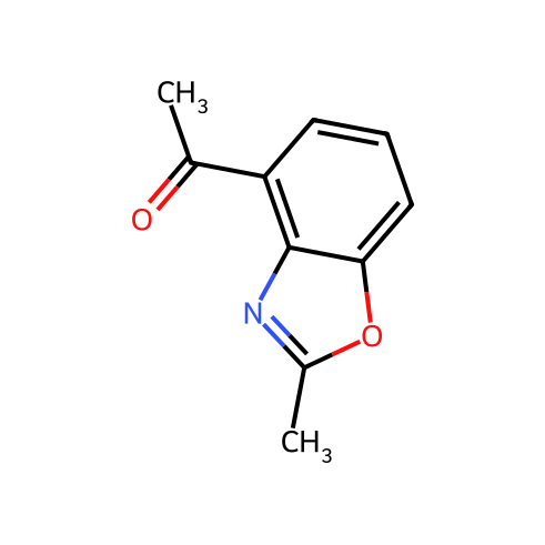 CC(=O)c1cccc2oc(C)nc12